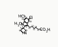 Cl.Cn1c(-c2cccnc2)c(CCCCCC(=O)O)c2cc(Cl)ccc21